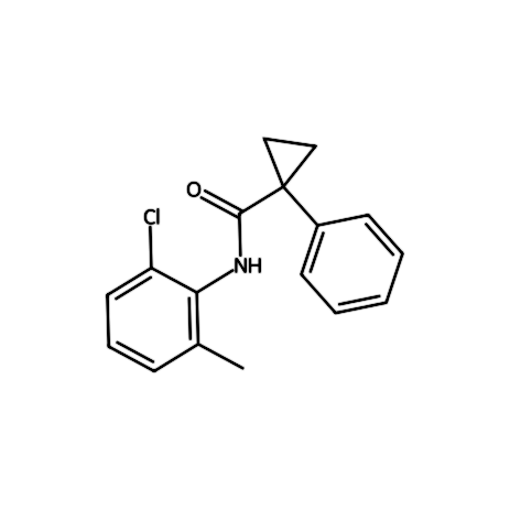 Cc1cccc(Cl)c1NC(=O)C1(c2ccccc2)CC1